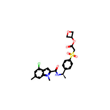 Cc1cc(Cl)c2cc(C(=O)N[C@H](C)c3ccc(S(=O)(=O)CC(=O)OC4COC4)cc3)n(C)c2c1